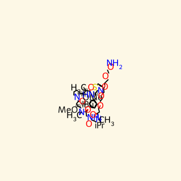 CC[C@H](C)C([C@@H](CC(=O)N1CCC[C@H]1[C@H](OC)[C@@H](C)C(=O)N[C@@H](Cc1ccccc1)c1nccs1)OC)N(C)C(=O)CNC(=O)C(C(C)C)N(C)C(=O)CCOCCOCCOCCOCCON